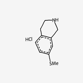 CSc1ccc2c(c1)CNCC2.Cl